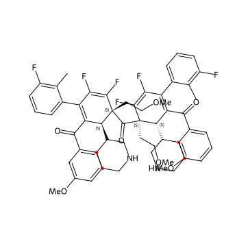 COCC[C@]1(C(=O)[C@@]2(CCOC)C(F)=C(F)C(c3cccc(F)c3C)=C(C(=O)c3cccc(OC)c3)[C@@H]2C2CCCNC2)C(F)=C(F)C(c2cccc(F)c2C)=C(C(=O)c2cccc(OC)c2)[C@@H]1C1CCCNC1